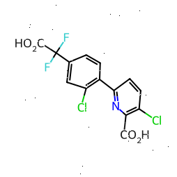 O=C(O)c1nc(-c2ccc(C(F)(F)C(=O)O)cc2Cl)ccc1Cl